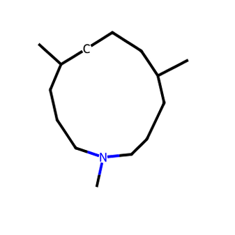 CC1CCCC(C)CCCN(C)CCC1